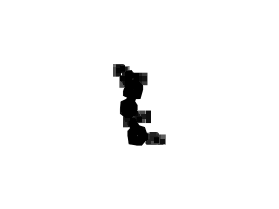 CC(C)c1nc2cc(-c3ccc4nc(-c5cccc(C(C)(C)C)c5)[nH]c4c3)ccc2[nH]1